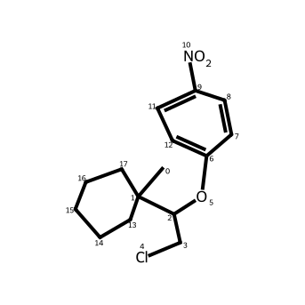 CC1(C(CCl)Oc2ccc([N+](=O)[O-])cc2)CCCCC1